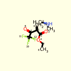 C=C(C(=O)OCC)C(=O)C(F)(F)F.CNC